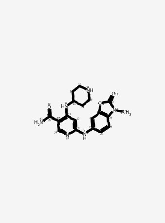 Cn1c(=O)oc2cc(Nc3cc(NC4CCNCC4)c(C(N)=O)cn3)ccc21